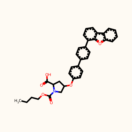 CCCCOC(=O)N1CC(Oc2ccc(-c3ccc(-c4cccc5c4oc4ccccc45)cc3)cc2)CC1C(=O)O